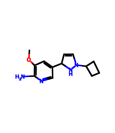 COc1cc(C2C=CN(C3CCC3)N2)cnc1N